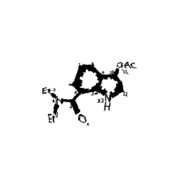 CCN(CC)C(=O)c1cccc2c(OC(C)=O)c[nH]c12